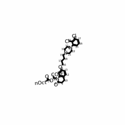 CCCCCCCCC(=O)OC(C(=O)OCC)N1C(=O)CCc2ccc(OCCCCN3CCN(c4cccc(Cl)c4Cl)CC3)cc21